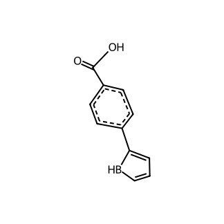 O=C(O)c1ccc(C2=CC=CB2)cc1